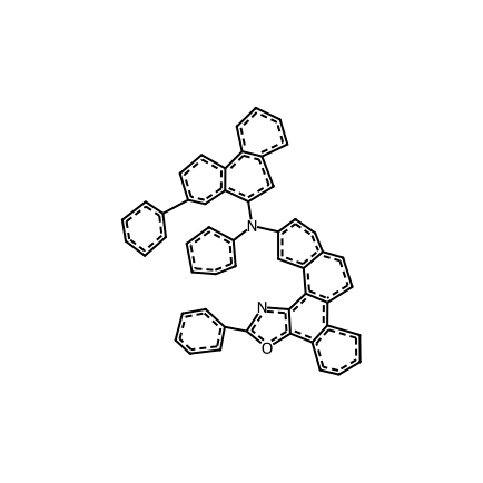 c1ccc(-c2ccc3c(c2)c(N(c2ccccc2)c2ccc4ccc5c6ccccc6c6oc(-c7ccccc7)nc6c5c4c2)cc2ccccc23)cc1